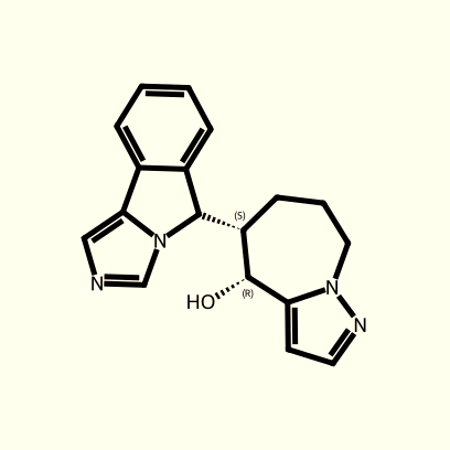 O[C@H]1c2ccnn2CCC[C@H]1C1c2ccccc2-c2cncn21